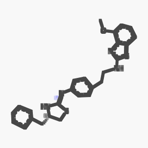 COc1cccc2sc(NCCc3ccc(/N=C4/N[C@@H](Cc5ccccc5)CS4)cc3)nc12